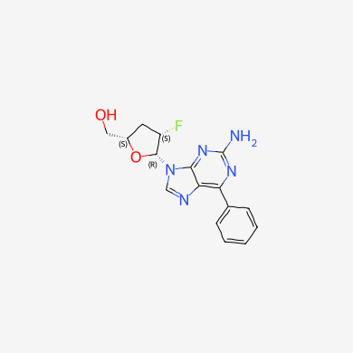 Nc1nc(-c2ccccc2)c2ncn([C@@H]3O[C@H](CO)C[C@@H]3F)c2n1